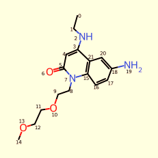 CCNc1cc(=O)n(CCOCCOC)c2ccc(N)cc12